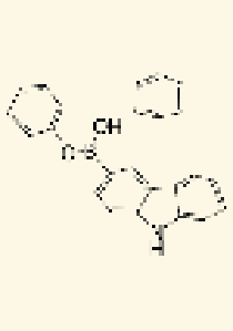 OB(Oc1ccccc1)c1ccc2[nH]c3ccccc3c2c1.c1ccccc1